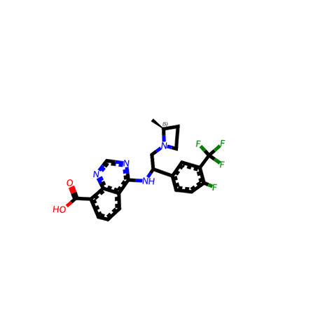 C[C@H]1CCN1CC(Nc1ncnc2c(C(=O)O)cccc12)c1ccc(F)c(C(F)(F)F)c1